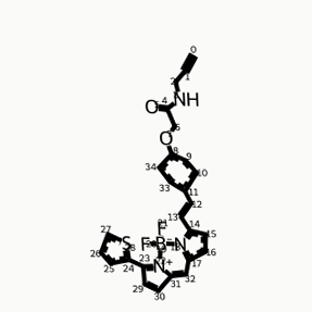 C#CCNC(=O)COc1ccc(/C=C/c2ccc3n2[B-](F)(F)[N+]2=C(c4cccs4)C=CC2=C3)cc1